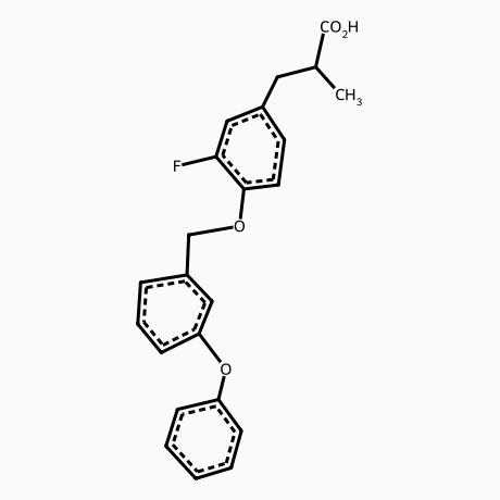 CC(Cc1ccc(OCc2cccc(Oc3ccccc3)c2)c(F)c1)C(=O)O